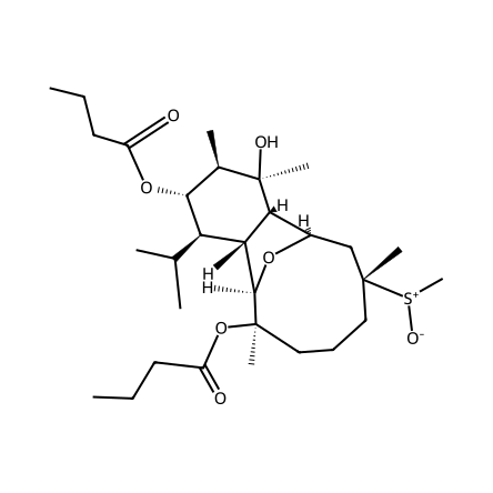 CCCC(=O)O[C@H]1[C@H](C(C)C)[C@@H]2[C@@H]([C@H]3C[C@](C)([S+](C)[O-])CCC[C@@](C)(OC(=O)CCC)[C@@H]2O3)[C@](C)(O)[C@@H]1C